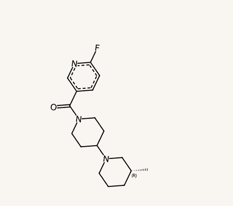 C[C@@H]1CCCN(C2CCN(C(=O)c3ccc(F)nc3)CC2)C1